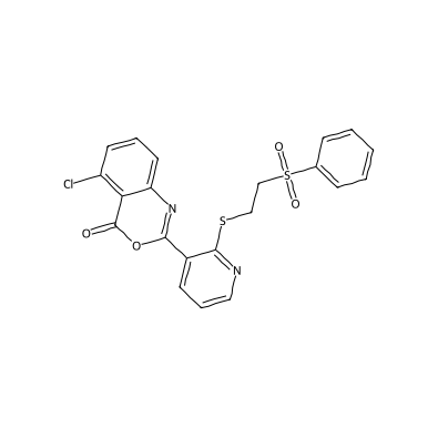 O=c1oc(-c2cccnc2SCCS(=O)(=O)c2ccccc2)nc2cccc(Cl)c12